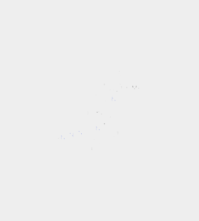 CC[C@H](C)[C@H](N=[N+]=[N-])C(=O)N[C@H](C[C@@H](C)c1nc(C(=O)OC)cs1)C(C)C